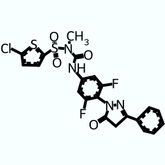 CN(C(=O)Nc1cc(F)c(N2N=C(c3ccccc3)CC2=O)c(F)c1)S(=O)(=O)c1ccc(Cl)s1